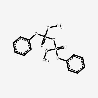 COP(=O)(Oc1ccccc1)OP(=O)(OC)Oc1ccccc1